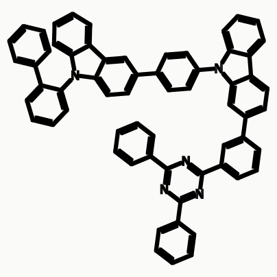 c1ccc(-c2nc(-c3ccccc3)nc(-c3cccc(-c4ccc5c6ccccc6n(-c6ccc(-c7ccc8c(c7)c7ccccc7n8-c7ccccc7-c7ccccc7)cc6)c5c4)c3)n2)cc1